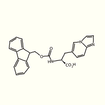 O=C(N[C@@H](Cc1ccc2nccn2c1)C(=O)O)OCC1c2ccccc2-c2ccccc21